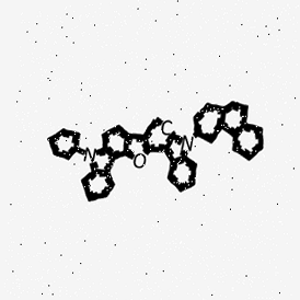 c1ccc(-n2c3ccccc3c3c4oc5c(ccc6c5c5ccccc5n6-c5ccc6ccc7ccccc7c6c5)c4ccc32)cc1